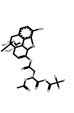 CC(=O)O[C@@H](CC(=O)OC1=CC[C@@]2(O)[C@H]3Cc4ccc(O)c5c4[C@@]2(CCN3C)[C@H]1O5)C(=O)OC(=O)C(F)(F)F